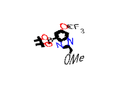 COCc1cnc2c(B3OC(C)(C)C(C)(C)O3)cc(OC(F)(F)F)cc2n1